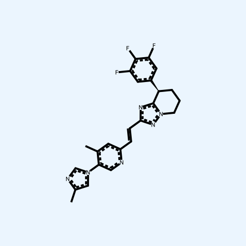 Cc1cn(-c2cnc(/C=C/c3nc4n(n3)CCC[C@@H]4c3cc(F)c(F)c(F)c3)cc2C)cn1